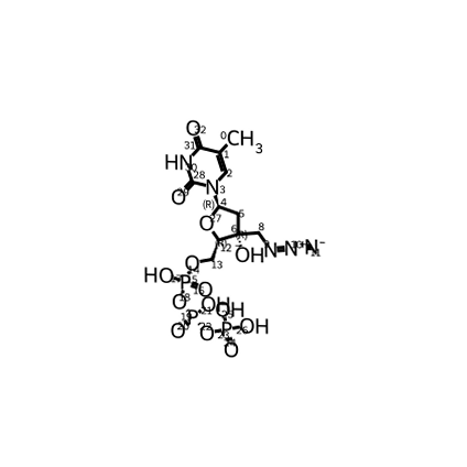 Cc1cn([C@H]2C[C@@](O)(CN=[N+]=[N-])[C@@H](COP(=O)(O)OP(=O)(O)OP(=O)(O)O)O2)c(=O)[nH]c1=O